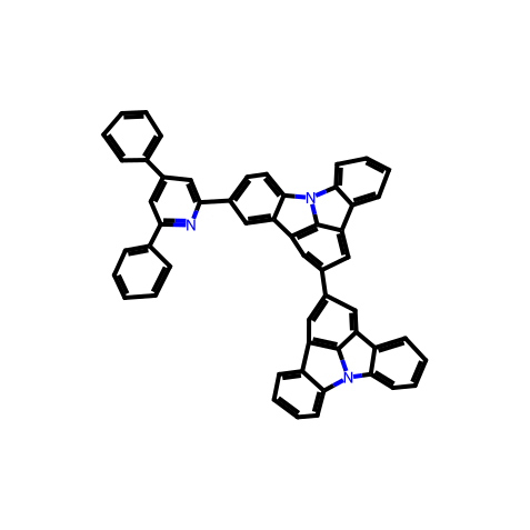 c1ccc(-c2cc(-c3ccccc3)nc(-c3ccc4c(c3)c3cc(-c5cc6c7ccccc7n7c8ccccc8c(c5)c67)cc5c6ccccc6n4c53)c2)cc1